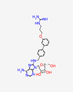 N=C(N)NCCCOc1cccc(-c2ccc(CNc3nc4c(N)ncnc4n3[C@@H]3O[C@H](CO)[C@@H](O)[C@H]3O)cc2)c1